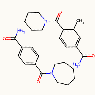 Cc1cc(C(N)=O)ccc1C(=O)N1CCCCC1.NC(=O)c1ccc(C(=O)N2CCCCCC2)cc1